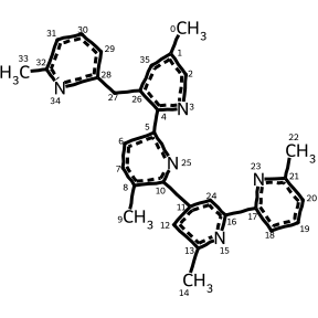 Cc1cnc(-c2ccc(C)c(-c3cc(C)nc(-c4cccc(C)n4)c3)n2)c(Cc2cccc(C)n2)c1